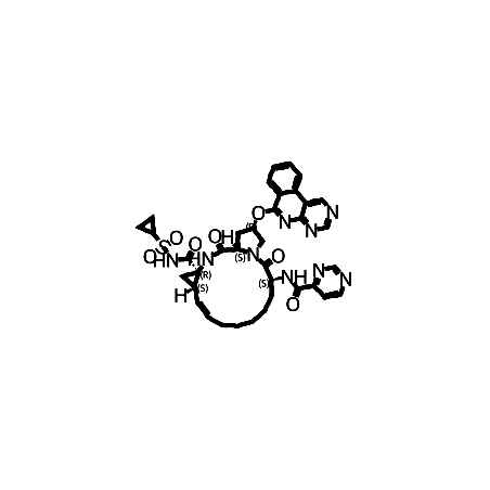 O=C(N[C@H]1CCCCCC=C[C@@H]2C[C@@]2(C(=O)NS(=O)(=O)C2CC2)NC(=O)[C@@H]2C[C@@H](Oc3nc4ncncc4c4ccccc34)CN2C1=O)c1ccncn1